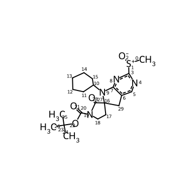 C[S+]([O-])c1ncc2c(n1)N(C1CCCCC1)C1(CCN(C(=O)OC(C)(C)C)C1=O)C2